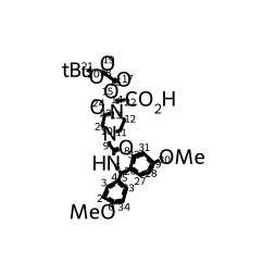 COc1ccc(C(NC(=O)CN2CCN(C(OC(=O)C(=O)OC(C)(C)C)C(=O)O)C(=O)C2)c2ccc(OC)cc2)cc1